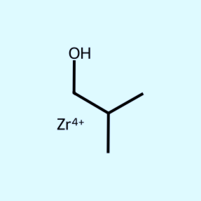 CC(C)CO.[Zr+4]